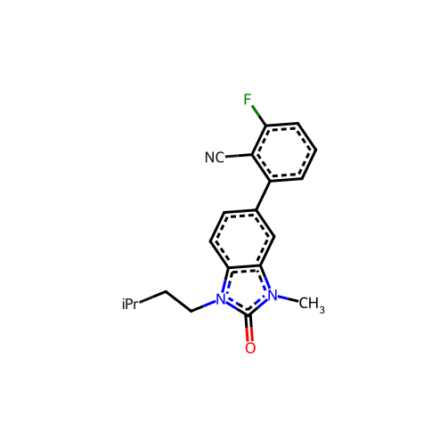 CC(C)CCn1c(=O)n(C)c2cc(-c3cccc(F)c3C#N)ccc21